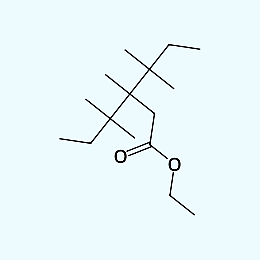 CCOC(=O)CC(C)(C(C)(C)CC)C(C)(C)CC